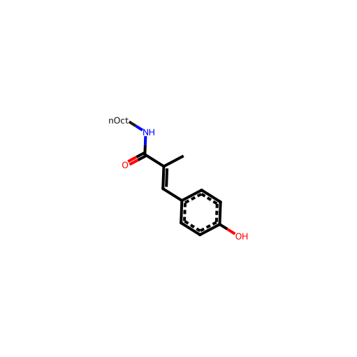 CCCCCCCCNC(=O)/C(C)=C/c1ccc(O)cc1